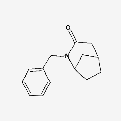 O=C1CC2CCC(C2)N1Cc1ccccc1